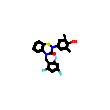 Cc1cc(N2Sc3ccccc3N(Cc3c(F)cc(F)cc3F)C2=O)cc(C)c1O